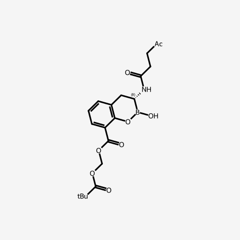 CC(=O)CCC(=O)N[C@H]1Cc2cccc(C(=O)OCOC(=O)C(C)(C)C)c2OB1O